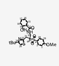 COc1ccc(S(=O)(=O)C(C)(CNC(=O)c2ccccc2O)Cc2nc(C(C)(C)C)cs2)cc1